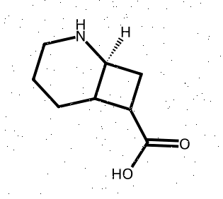 O=C(O)C1C[C@@H]2NCCCC12